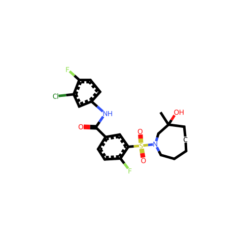 CC1(O)CCCCCN(S(=O)(=O)c2cc(C(=O)Nc3ccc(F)c(Cl)c3)ccc2F)C1